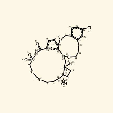 O=C1NS(=O)(=O)CCCCCC[C@@H](O)[C@@H]2CC[C@H]2CN2CCCCc3cc(Cl)ccc3COc3ccc1cc32